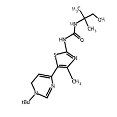 Cc1nc(NC(=O)NC(C)(C)CO)sc1C1=CCN(C(C)(C)C)C=N1